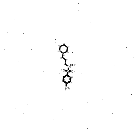 Cc1ccc(S(=O)(=O)OCCCN2CCCCC2)cc1.Cl